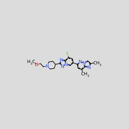 COCCN1CCC(c2nc3c(F)cc(-c4cc(C)c5nc(C)cn5n4)cn3n2)CC1